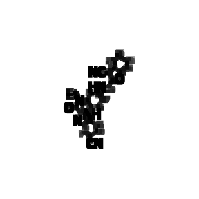 CCN(C(=O)c1nc2cc(C#N)ccc2[nH]1)[C@H]1CCC[C@@H](NCc2oc3ccccc3c2C#N)C1